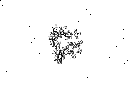 CC(C)B(c1cc(C(C)(C)C)cs1)c1cc(C(C)(C)C)cs1.CCCc1cncn1CC(CC)CC(C)CC(C)C